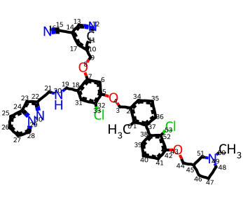 Cc1c(COc2cc(OCc3cncc(C#N)c3)c(CNCc3cc4ccccn4n3)cc2Cl)cccc1-c1cccc(OCC2CCCN(C)C2)c1Cl